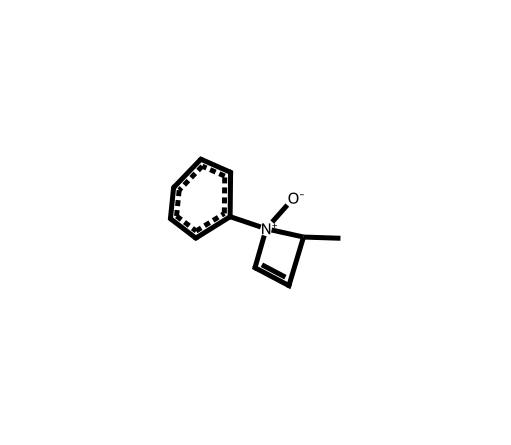 CC1C=C[N+]1([O-])c1ccccc1